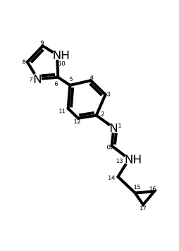 [C](=N\c1ccc(-c2ncc[nH]2)cc1)/NCC1CC1